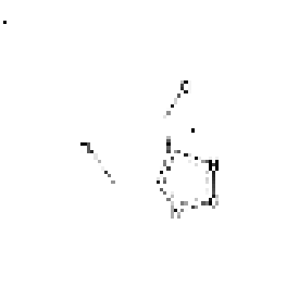 ClCc1nonc1CCl